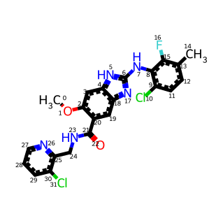 COc1cc2[nH]c(Nc3c(Cl)ccc(C)c3F)nc2cc1C(=O)NCc1ncccc1Cl